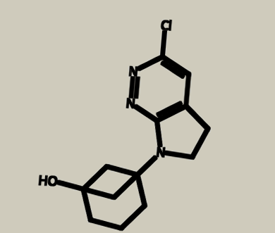 OC12CCCC(N3CCc4cc(Cl)nnc43)(C1)C2